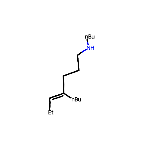 CC/C=C(\CCCC)CCCNCCCC